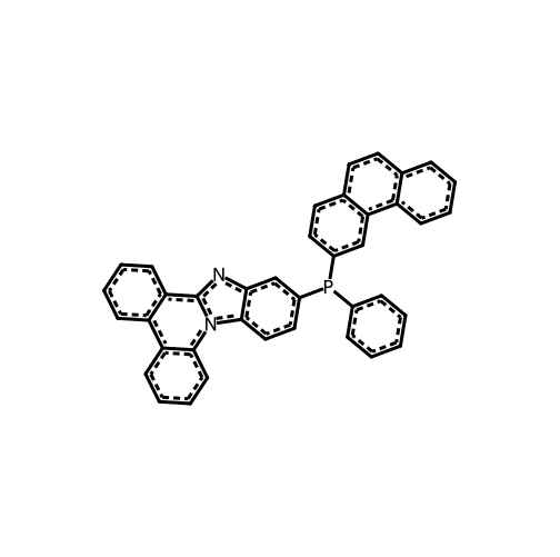 c1ccc(P(c2ccc3c(c2)nc2c4ccccc4c4ccccc4n32)c2ccc3ccc4ccccc4c3c2)cc1